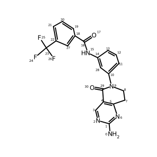 Nc1ncc2c(n1)CCN(c1cccc(NC(=O)c3cccc(C(F)(F)F)c3)c1)C2=O